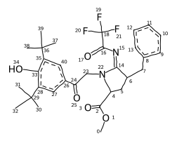 COC(=O)C1CC(Cc2ccccc2)C(=NC(=O)C(F)(F)F)N1CC(=O)c1cc(C(C)(C)C)c(O)c(C(C)(C)C)c1